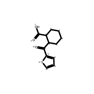 O=C(O)C1CCCCC1C(=O)c1cccs1